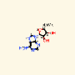 CO[C@H]1O[C@@H](n2cnc3c(N)ncnc32)C(O)C1O